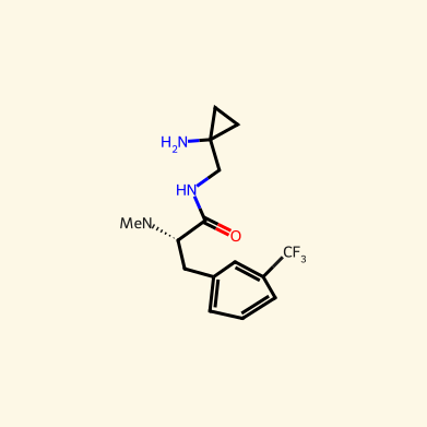 CN[C@@H](Cc1cccc(C(F)(F)F)c1)C(=O)NCC1(N)CC1